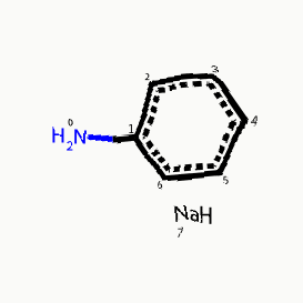 Nc1cc[c]cc1.[NaH]